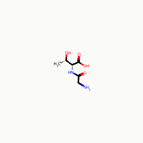 C[C@H](O)[C@@H](NC(=O)CN)C(=O)O